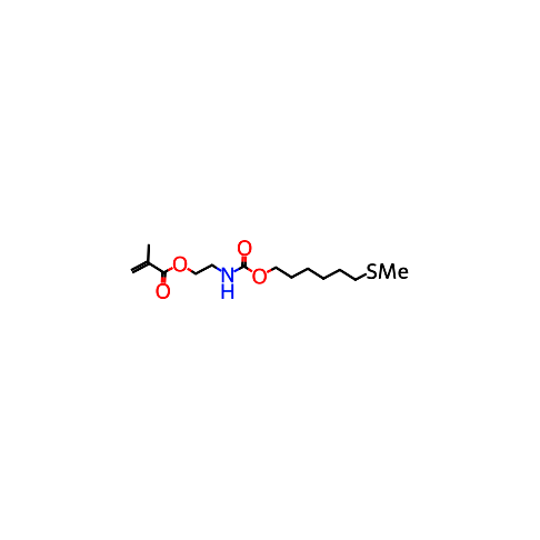 C=C(C)C(=O)OCCNC(=O)OCCCCCCSC